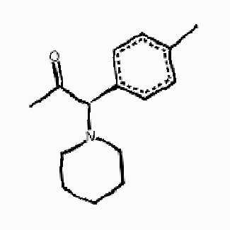 CC(=O)[C@@H](c1ccc(C)cc1)N1CCCCC1